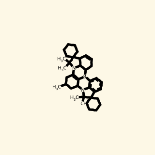 CC1CC2=C3B(c4cccc5c4N(C3C1)C(C)(C)C51CCCCC1)C1CC=CC3C1N2C(C)(C)C31CCCCC1